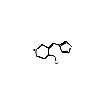 CC(=O)SC1CCNC/C1=C/c1cocn1